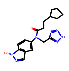 O=C(CCC1CCCC1)N(Cc1nn[nH]n1)c1ccc2c(cnn2O)c1